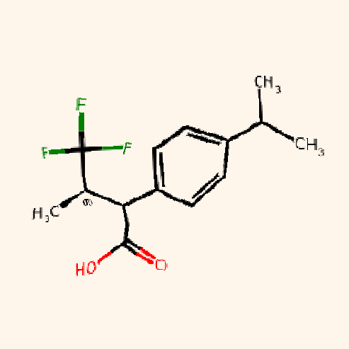 CC(C)c1ccc(C(C(=O)O)[C@@H](C)C(F)(F)F)cc1